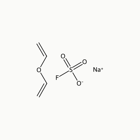 C=COC=C.O=S(=O)([O-])F.[Na+]